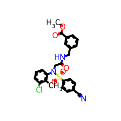 COC(=O)c1cccc(CNC(=O)CN(c2cccc(Cl)c2C)S(=O)(=O)c2ccc(C#N)cc2)c1